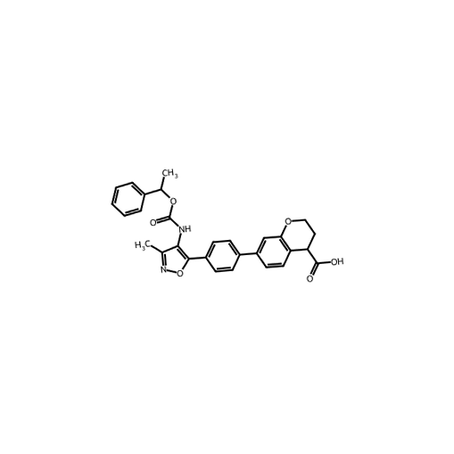 Cc1noc(-c2ccc(-c3ccc4c(c3)OCCC4C(=O)O)cc2)c1NC(=O)OC(C)c1ccccc1